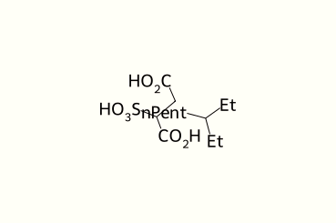 CCCCCC(CC)CC.O=C(O)CC(C(=O)O)S(=O)(=O)O